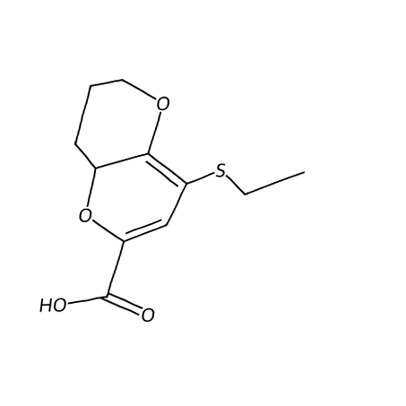 CCSC1=C2OCCCC2OC(C(=O)O)=C1